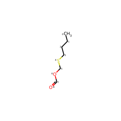 CCCCSCOC=O